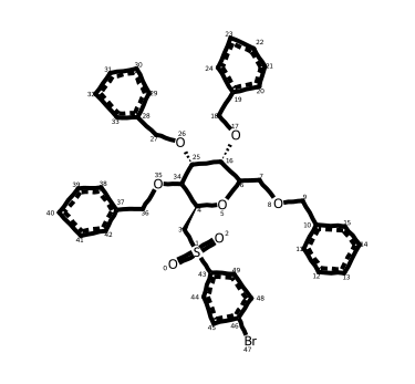 O=S(=O)(C[C@@H]1OC(COCc2ccccc2)[C@@H](OCc2ccccc2)[C@@H](OCc2ccccc2)C1OCc1ccccc1)c1ccc(Br)cc1